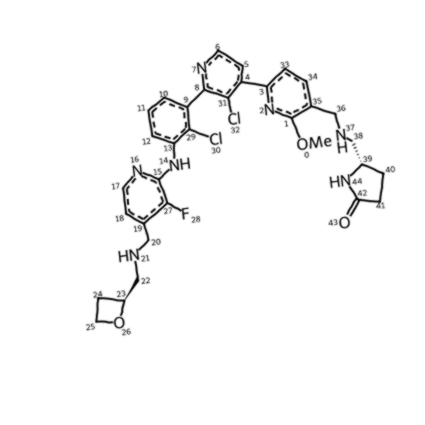 COc1nc(-c2ccnc(-c3cccc(Nc4nccc(CNC[C@@H]5CCO5)c4F)c3Cl)c2Cl)ccc1CNC[C@@H]1CCC(=O)N1